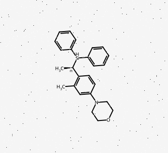 Cc1cc(N2CCOCC2)ccc1[C@@H](C)[SiH](c1ccccc1)c1ccccc1